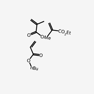 C=C(C)C(=O)OC.C=C(C)C(=O)OCC.C=CC(=O)OCCCC